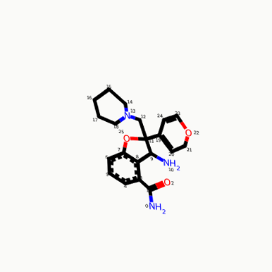 NC(=O)c1cccc2c1C(N)C(CN1CCCCC1)(C1=CCOC=C1)O2